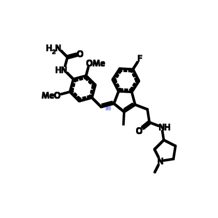 COc1cc(/C=C2/C(C)=C(CC(=O)NC3CCN(C)C3)c3cc(F)ccc32)cc(OC)c1NC(N)=O